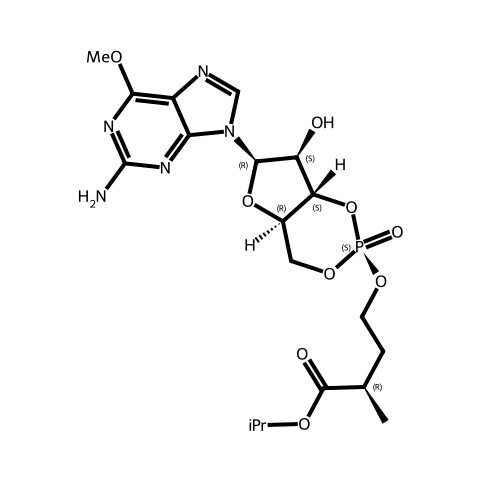 COc1nc(N)nc2c1ncn2[C@@H]1O[C@@H]2CO[P@](=O)(OCC[C@@H](C)C(=O)OC(C)C)O[C@H]2[C@@H]1O